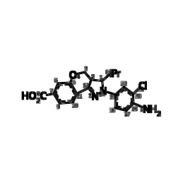 CC(C)C1C2COc3cc(C(=O)O)ccc3C2=NN1c1ccc(N)c(Cl)c1